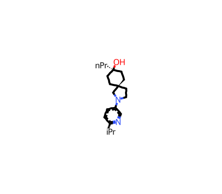 CCC[C@]1(O)CC[C@]2(CCN(c3ccc(C(C)C)nc3)C2)CC1